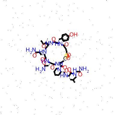 CC[C@H](C)[C@@H]1NC(=O)[C@H](Cc2ccc(O)cc2)NC(=O)CCS(=O)(=O)CC[C@@H](C(=O)N2CCCC[C@H]2C(=O)N[C@@H](CC(C)C)C(=O)NCC(N)=O)NC(=O)[C@H](CC(N)=O)NC(=O)[C@H](CCC(N)=O)NC1=O